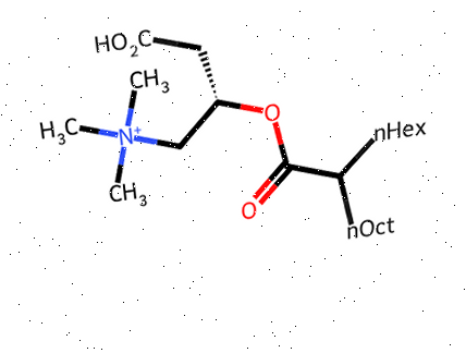 CCCCCCCCC(CCCCCC)C(=O)O[C@@H](CC(=O)O)C[N+](C)(C)C